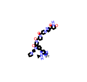 CC(C)n1cnc2cc(-c3ccc4c(c3)N(C3CC(N5CCCCC5)C3)C(=O)C43CCN(C(=O)C4CCCN(C(=O)C5CCN(c6ccc(C7CCC(=O)NC7=O)cn6)CC5)C4)CC3)nc(NC3CC3)c21